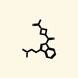 CC(=O)N1CC(C(=O)n2cc(CCN(C)C)c3ccccc32)C1